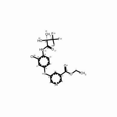 CCOC(=O)c1cncc(Sc2ccc(NC(=O)[C@@](C)(O)C(F)(F)F)c(Cl)c2)c1